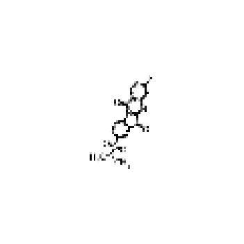 CN(C)S(=O)(=O)c1ccc2c(c1)C(=O)c1nc3cc(F)ccc3c(=O)n1-2